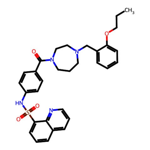 CCCOc1ccccc1CN1CCCN(C(=O)c2ccc(NS(=O)(=O)c3cccc4cccnc34)cc2)CC1